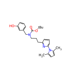 Cc1ccc(C)n1-c1cccc(CCCN(Cc2cccc(O)c2)C(=O)OC(C)(C)C)n1